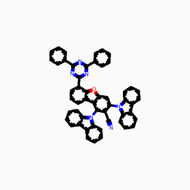 N#Cc1c(-n2c3ccccc3c3ccccc32)cc2oc3c(-c4nc(-c5ccccc5)nc(-c5ccccc5)n4)cccc3c2c1-n1c2ccccc2c2ccccc21